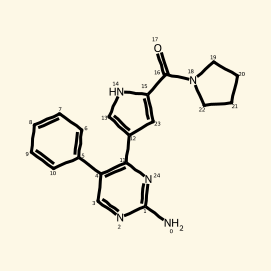 Nc1ncc(-c2ccccc2)c(-c2c[nH]c(C(=O)N3CCCC3)c2)n1